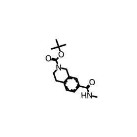 CNC(=O)c1ccc2c(c1)CN(C(=O)OC(C)(C)C)CC2